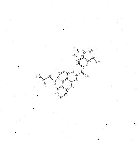 COc1cc(C(=O)N(CCCc2ccccc2)Cc2ccc(OCC(=O)O)cc2)cc(OC)c1OC